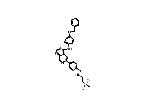 CS(=O)(=O)CCNCc1ccc(-c2cc3c(Nc4ccc(OCc5ccccc5)cc4)ncnc3cn2)cc1